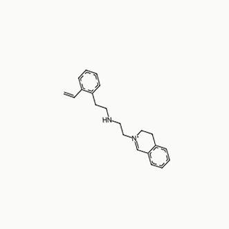 C=Cc1ccccc1CCNCC[N+]1=Cc2ccccc2CC1